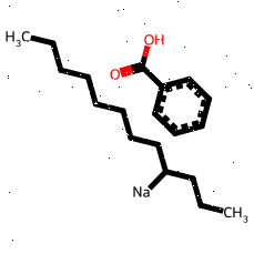 CCCCCCCC[CH]([Na])CCC.O=C(O)c1ccccc1